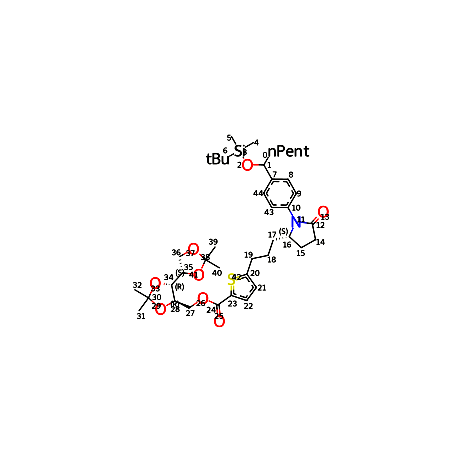 CCCCCC(O[Si](C)(C)C(C)(C)C)c1ccc(N2C(=O)CC[C@@H]2CCCc2ccc(C(=O)OC[C@H]3OC(C)(C)O[C@@H]3[C@@H]3COC(C)(C)O3)s2)cc1